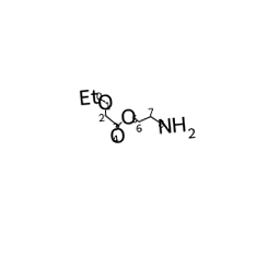 CCOCC(=O)OCCN